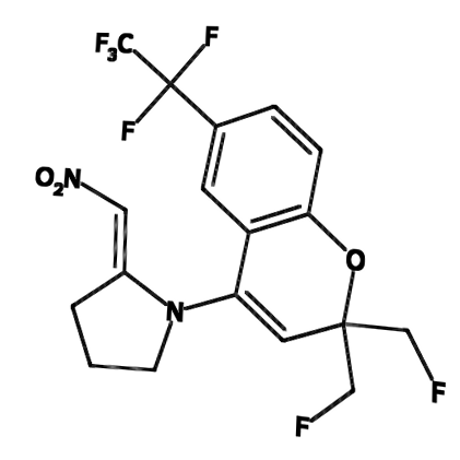 O=[N+]([O-])C=C1CCCN1C1=CC(CF)(CF)Oc2ccc(C(F)(F)C(F)(F)F)cc21